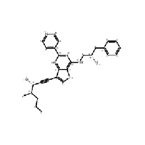 CCC[C@@H](C)[C@H](O)C#Cc1csc2c(NC[C@@H](N)Cc3ccccc3)nc(-c3ccncc3)nc12